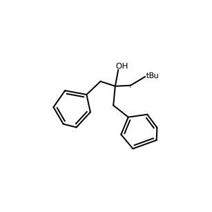 CC(C)(C)[CH]C(O)(Cc1ccccc1)Cc1ccccc1